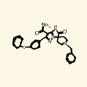 NC(=O)c1c(-c2ccc(Oc3ccccc3)cc2)nn2c1NC(=O)C21CCN(Cc2ccccc2)CC1